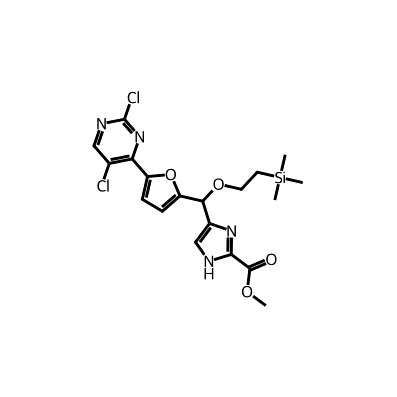 COC(=O)c1nc(C(OCC[Si](C)(C)C)c2ccc(-c3nc(Cl)ncc3Cl)o2)c[nH]1